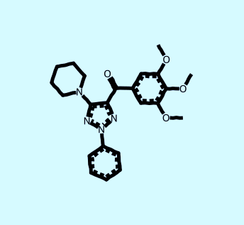 COc1cc(C(=O)c2nn(-c3ccccc3)nc2N2CCCCC2)cc(OC)c1OC